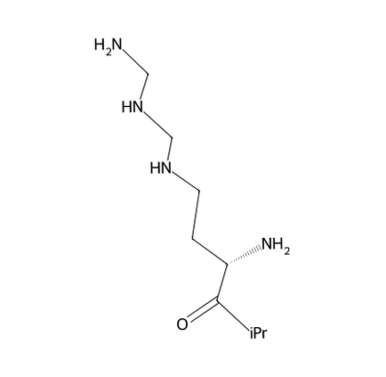 CC(C)C(=O)[C@@H](N)CCNCNCN